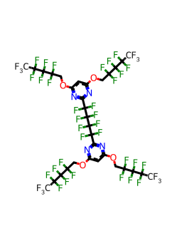 FC(F)(F)C(F)(F)C(F)(F)C(F)(F)COc1cc(OCC(F)(F)C(F)(F)C(F)(F)C(F)(F)F)nc(C(F)(F)C(F)(F)C(F)(F)C(F)(F)c2nc(OCC(F)(F)C(F)(F)C(F)(F)C(F)(F)F)cc(OCC(F)(F)C(F)(F)C(F)(F)C(F)(F)F)n2)n1